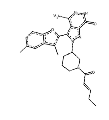 CC/C=C/C(=O)N1CCCC(n2nc3c(=O)[nH]nc(N)c3c2-c2oc3ccc(C)cc3c2C)C1